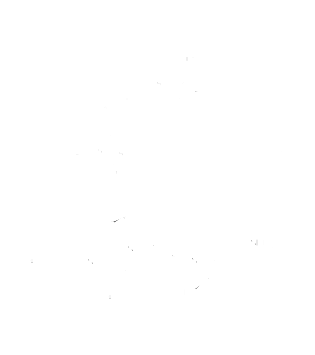 CC[C@@H]1C[C@@]12NC(=O)[C@@H]1C[C@H](CN1C(=O)[C@@H](NC(=O)OC(C)(C)C)C(C)(C)C)Oc1nc3c(cccc3n1C(C)C)-c1nc(C(C)C)c(s1)CCCCCCCCS(=O)(=O)NC2=O